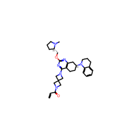 C=CC(=O)N1CC2(C1)CN(c1nc(OC[C@@H]3CCCN3C)nc3c1CC[C@H](N1CCCc4ccccc41)C3)C2